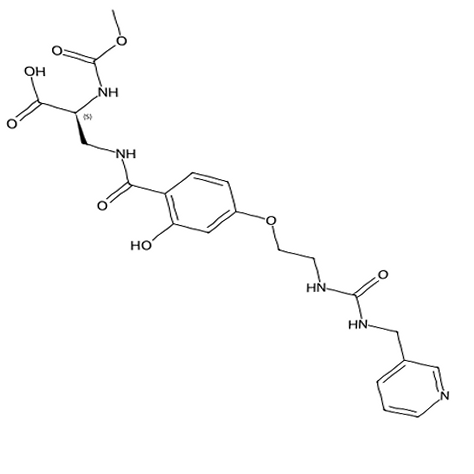 COC(=O)N[C@@H](CNC(=O)c1ccc(OCCNC(=O)NCc2cccnc2)cc1O)C(=O)O